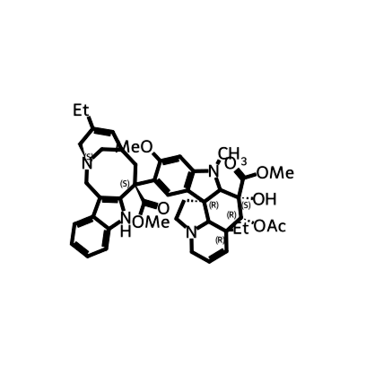 CCC1=CC2C[N@](C1)Cc1c([nH]c3ccccc13)[C@@](C(=O)OC)(c1cc3c(cc1OC)N(C)C1[C@]34CCN3CC=C[C@](CC)(C34)[C@@H](OC(C)=O)[C@]1(O)C(=O)OC)C2